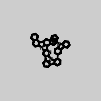 c1ccc(-n2c3ccccc3c3cc(-c4cccc5c6cccc7c8cc9c(nc8n(c45)c76)c4c5ccccc5cc5c6c7ccccc7ccc6n9c54)ccc32)cc1